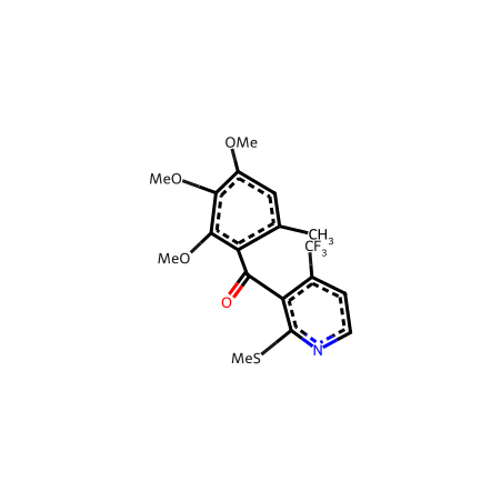 COc1cc(C)c(C(=O)c2c(C(F)(F)F)ccnc2SC)c(OC)c1OC